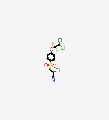 N#CC(Cl)CS(=O)(=O)c1ccc(OC(F)(F)C(Cl)Cl)cc1